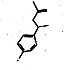 C=C(C)CC(C)c1ccc(F)cc1